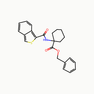 O=C(NC1(C(=O)OCc2ccccc2)CCCCC1)c1scc2ccccc12